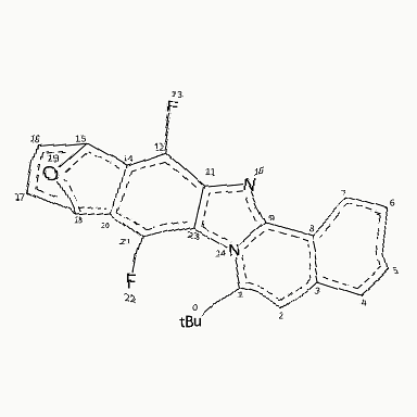 CC(C)(C)c1cc2ccccc2c2nc3c(F)c4c5ccc(o5)c4c(F)c3n12